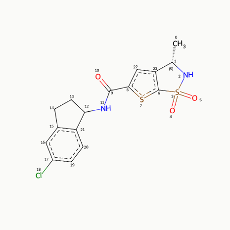 C[C@@H]1NS(=O)(=O)c2sc(C(=O)NC3CCc4cc(Cl)ccc43)cc21